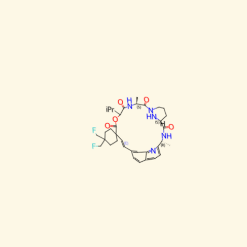 CC(C)C1OC(=O)C2(/C=C/c3ccc4ccc(nc4c3)[C@@H](C)NC(=O)[C@@H]3CCCN(N3)C(=O)[C@H](C)NC1=O)CCC(CF)(CF)CC2